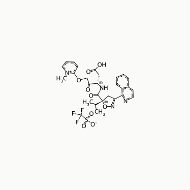 CC(C)[C@@]1(C(=O)N[C@@H](CC(=O)O)C(=O)COc2cccc[n+]2C)CC(c2nccc3ccccc23)=NO1.O=S(=O)([O-])C(F)(F)F